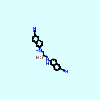 N#Cc1ccc2cc(NCC(O)CNc3ccc4cc(C#N)ccc4c3)ccc2c1